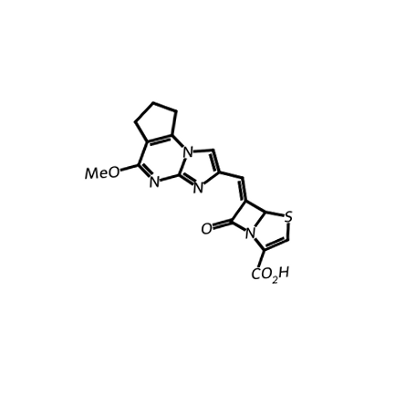 COc1nc2nc(C=C3C(=O)N4C(C(=O)O)=CSC34)cn2c2c1CCC2